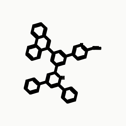 COc1ccc(-c2cc(-c3cc4ccccc4c4ccccc34)cc(C3C=C(c4ccccc4)C=C(c4ccccc4)N3)c2)cn1